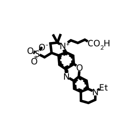 CCN1CCCc2cc3c(cc21)Oc1cc2c(cc1=N3)C(CS(=O)(=O)[O-])CC(C)(C)[N+]=2CCCC(=O)O